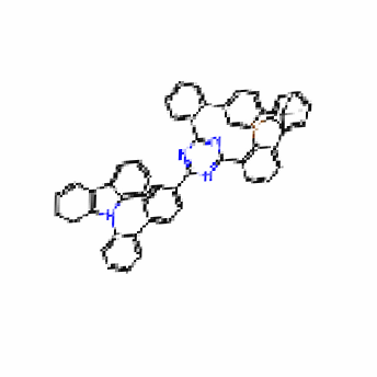 CC(C)(C)c1ccc(-c2ccccc2-c2nc(-c3c#cc(-c4ccccc4-n4c5c(c6ccccc64)C=CCC5)cc3)nc(-c3cccc4c3sc3ccccc34)n2)cc1